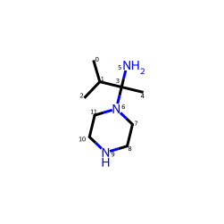 CC(C)C(C)(N)N1CCNCC1